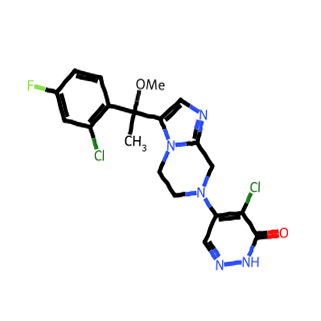 COC(C)(c1ccc(F)cc1Cl)c1cnc2n1CCN(c1cn[nH]c(=O)c1Cl)C2